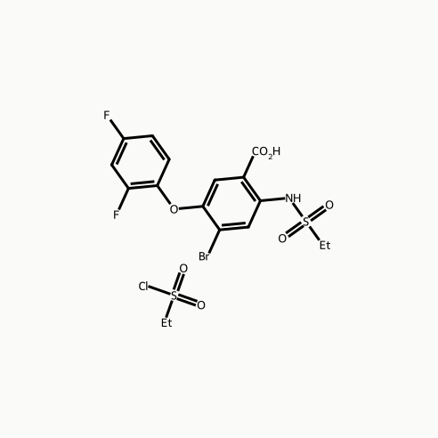 CCS(=O)(=O)Cl.CCS(=O)(=O)Nc1cc(Br)c(Oc2ccc(F)cc2F)cc1C(=O)O